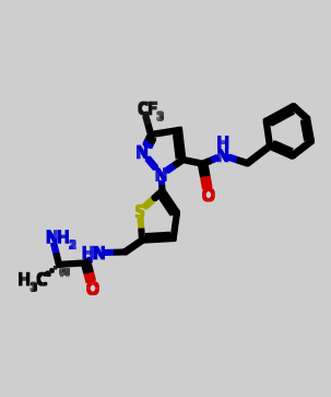 C[C@H](N)C(=O)NCc1ccc(-n2nc(C(F)(F)F)cc2C(=O)NCc2ccccc2)s1